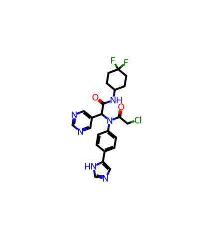 O=C(NC1CCC(F)(F)CC1)C(c1cncnc1)N(C(=O)CCl)c1ccc(-c2cnc[nH]2)cc1